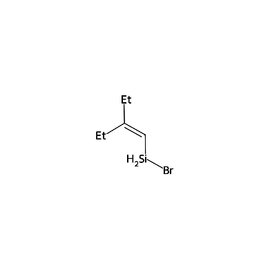 CCC(=C[SiH2]Br)CC